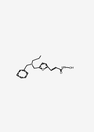 CCCN(Cc1ccccc1)Cc1ccc(/C=C/C(=O)NO)o1